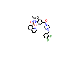 COc1cc(C(=O)N2CCN(Cc3cccc(F)c3F)CC2)ccc1NS(=O)(=O)c1cccc2cccnc12